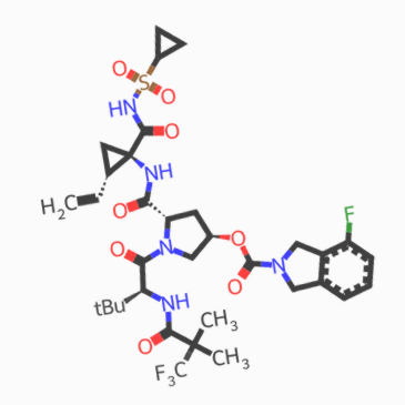 C=C[C@@H]1C[C@]1(NC(=O)[C@@H]1C[C@@H](OC(=O)N2Cc3cccc(F)c3C2)CN1C(=O)[C@@H](NC(=O)C(C)(C)C(F)(F)F)C(C)(C)C)C(=O)NS(=O)(=O)C1CC1